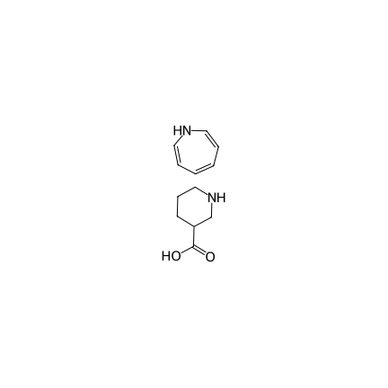 C1=CC=CNC=C1.O=C(O)C1CCCNC1